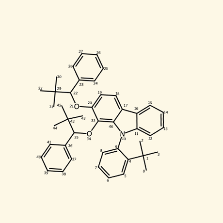 CC(C)(C)c1ccccc1-n1c2ccccc2c2ccc(OC(c3ccccc3)C(C)(C)C)c(OC(c3ccccc3)C(C)(C)C)c21